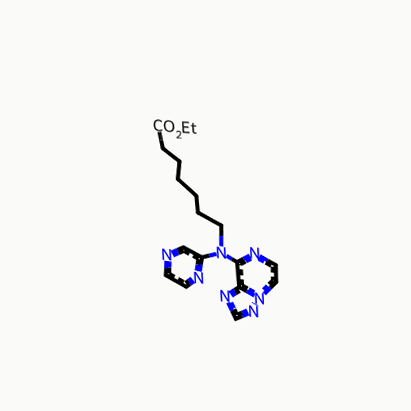 CCOC(=O)CCCCCCN(c1cnccn1)c1nccn2ncnc12